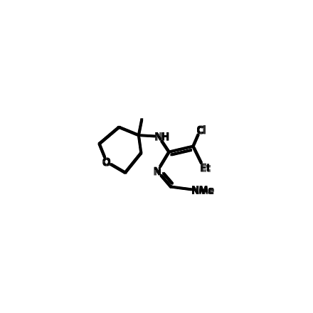 CC/C(Cl)=C(\N=C/NC)NC1(C)CCOCC1